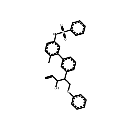 C=CC(O)C(COc1c[c]ccc1)c1cccc(-c2cc(NS(=O)(=O)c3ccccc3)ccc2C)c1